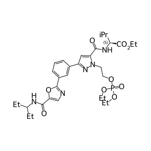 CCOC(=O)[C@@H](NC(=O)c1cc(-c2cccc(-c3ncc(C(=O)NC(CC)CC)o3)c2)nn1CCOP(=O)(OCC)OCC)C(C)C